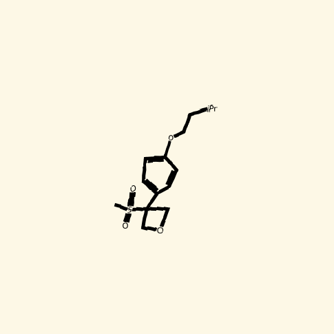 CC(C)CCOc1ccc(C2(S(C)(=O)=O)COC2)cc1